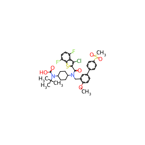 COc1ccc(-c2ccc(S(C)(=O)=O)cc2)cc1CN(C(=O)c1sc2c(F)ccc(F)c2c1Cl)C1CCC(N(C(=O)O)C(C)(C)C)CC1